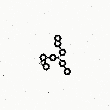 c1ccc(-c2ccc(N(c3ccc(-c4cccc5oc6ccccc6c45)cc3)c3cccc(-c4ccc5ccccc5c4)c3)cc2)cc1